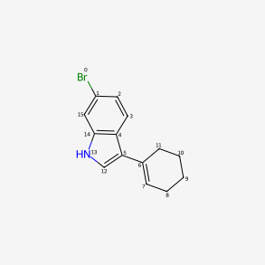 Brc1ccc2c(C3=CCCCC3)c[nH]c2c1